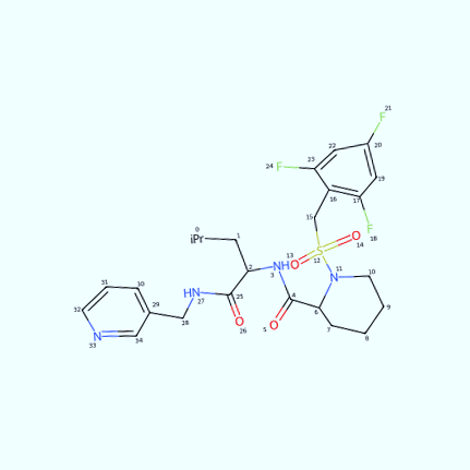 CC(C)CC(NC(=O)C1CCCCN1S(=O)(=O)Cc1c(F)cc(F)cc1F)C(=O)NCc1cccnc1